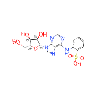 O=S(=O)(O)c1ccccc1Nc1ncnc2c1ncn2[C@@H]1O[C@H](CO)[C@@H](O)[C@H]1O